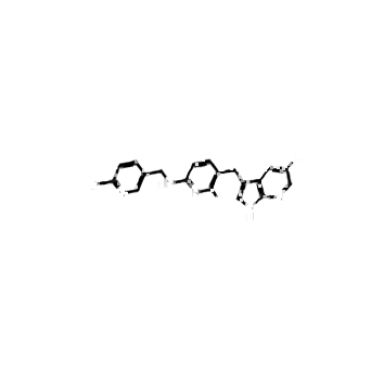 Fc1nc(NCc2ccc(Cl)nc2)ccc1Cc1c[nH]c2ncc(Cl)cc12